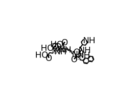 O=C(O)CC[C@H](NC(=O)N[C@@H](CCCCNC(=O)[C@H](Cc1ccc2ccccc2c1)NC(=O)NCC1CCNCC1)C(=O)O)C(=O)O